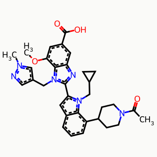 COc1cc(C(=O)O)cc2nc(-c3cc4cccc(C5CCN(C(C)=O)CC5)c4n3CC3CC3)n(Cc3cnn(C)c3)c12